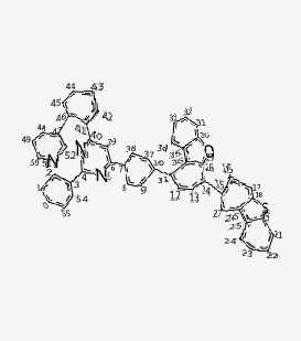 c1ccc(-c2nc(-c3ccc(-c4ccc(-c5ccc6sc7ccccc7c6c5)c5oc6ccccc6c45)cc3)cc(-c3ccccc3-c3cccnc3)n2)cc1